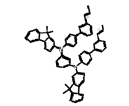 C/C=C/c1cccc(-c2ccc(N(c3cccc(N(c4ccc(-c5cccc(/C=C/C)c5)cc4)c4ccc5c(c4)C(C)(C)c4ccccc4-5)c3)c3ccc4c(c3)C(C)(C)c3ccccc3-4)cc2)c1